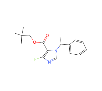 C[C@H](c1ccccc1)n1cnc(F)c1C(=O)OCC(C)(C)C